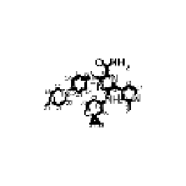 Cc1cc(-c2nc(C(N)=O)c(Nc3ccc(N4CCN(C)CC4)cc3)nc2NC2CCOC3(CC3)C2)ccn1